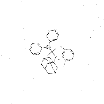 Cc1cccc(C)c1C(C12CC3CC(CC(C3)C1)C2)C(C)(C)[Si](c1ccccc1)c1ccccc1